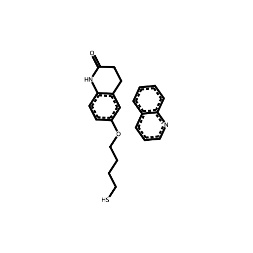 O=C1CCc2cc(OCCCCS)ccc2N1.c1ccc2ncccc2c1